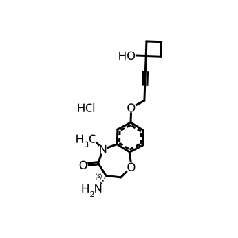 CN1C(=O)[C@@H](N)COc2ccc(OCC#CC3(O)CCC3)cc21.Cl